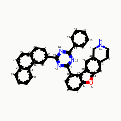 C1=Cc2cc3oc4cccc(-c5nc(-c6ccccc6)nc(-c6ccc7ccc8ccccc8c7c6)n5)c4c3cc2CN1